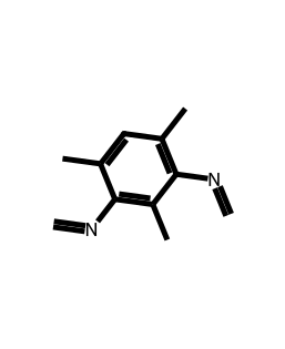 C=Nc1c(C)cc(C)c(N=C)c1C